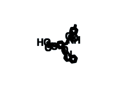 Cc1ccc(S(=O)(=O)NCCc2ccc(OCC(=O)O)cc2OCc2ccc3ccccc3n2)cc1